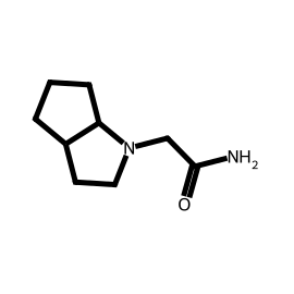 NC(=O)CN1CCC2CCCC21